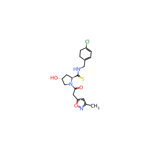 Cc1cc(CC(=O)N2C[C@H](O)C[C@H]2C(=S)NCC2=CC=C(Cl)CC2)on1